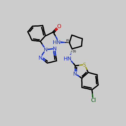 O=C(N[C@H]1CCC[C@@H]1Nc1nc2cc(Cl)ccc2s1)c1ccccc1-n1nccn1